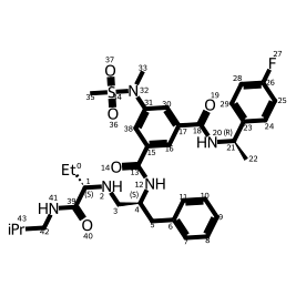 CC[C@H](NC[C@H](Cc1ccccc1)NC(=O)c1cc(C(=O)N[C@H](C)c2ccc(F)cc2)cc(N(C)S(C)(=O)=O)c1)C(=O)NCC(C)C